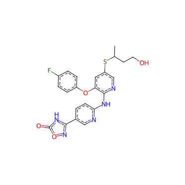 CC(CCO)Sc1cnc(Nc2ccc(-c3noc(=O)[nH]3)cn2)c(Oc2ccc(F)cc2)c1